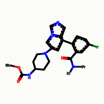 CCN(C(=O)c1cc(F)ccc1-c1cc(N2CCC(NC(=O)OC(C)(C)C)CC2)cn2cncc12)C(C)C